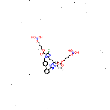 CCCCc1nc(Cl)c(C(=O)OCCCCON(O)O)n1Cc1ccc(-c2ccccc2-c2nnn(C(C)OC(=O)OCCCCON(O)O)n2)cc1